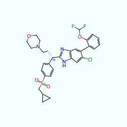 O=S(=O)(CC1CC1)c1ccc([C@H](CCN2CCOCC2)c2nc3cc(-c4ccccc4OC(F)F)c(Cl)cc3[nH]2)cc1